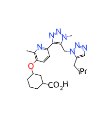 Cc1nc(-c2nnn(C)c2Cn2nncc2CC(C)C)ccc1OC1CCCC(C(=O)O)C1